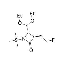 CCOC(OCC)[C@@H]1[C@@H](CCF)C(=O)N1[Si](C)(C)C